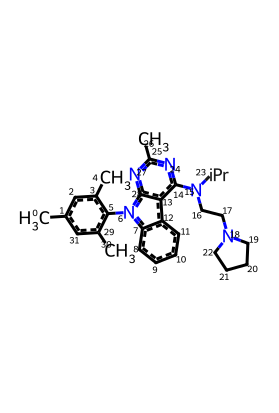 Cc1cc(C)c(-n2c3ccccc3c3c(N(CCN4CCCC4)C(C)C)nc(C)nc32)c(C)c1